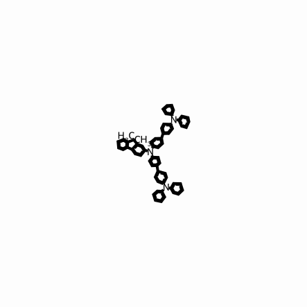 CC1(C)c2ccccc2-c2ccc(N(c3ccc(-c4ccc(N(c5ccccc5)c5ccccc5)cc4)cc3)c3ccc(-c4ccc(N(c5ccccc5)c5ccccc5)cc4)cc3)cc21